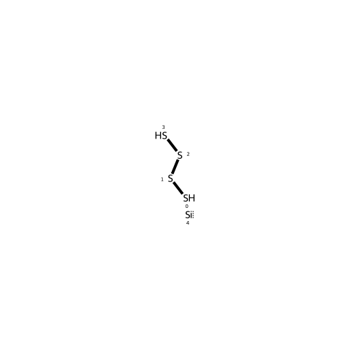 SSSS.[Si]